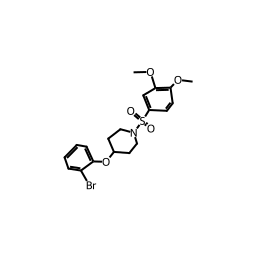 COc1ccc(S(=O)(=O)N2CCC(Oc3ccccc3Br)CC2)cc1OC